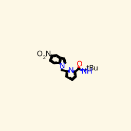 CC(C)(C)NC(=O)c1cccc(Cn2ccc3cc([N+](=O)[O-])ccc32)n1